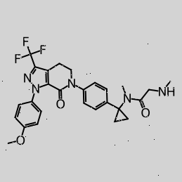 CNCC(=O)N(C)C1(c2ccc(N3CCc4c(C(F)(F)F)nn(-c5ccc(OC)cc5)c4C3=O)cc2)CC1